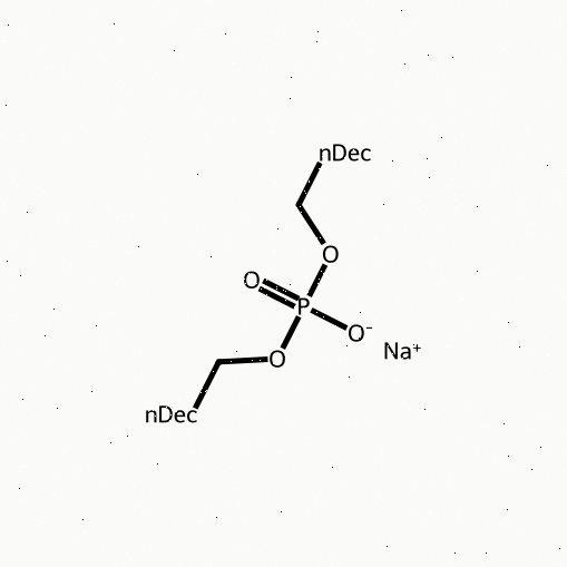 CCCCCCCCCCCOP(=O)([O-])OCCCCCCCCCCC.[Na+]